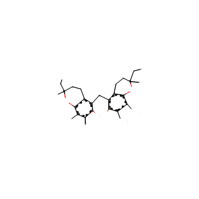 CCC1(C)CCc2c(Cc3c(O)c(C)c(C)c4c3CCC(C)(CC)O4)c(O)c(C)c(C)c2O1